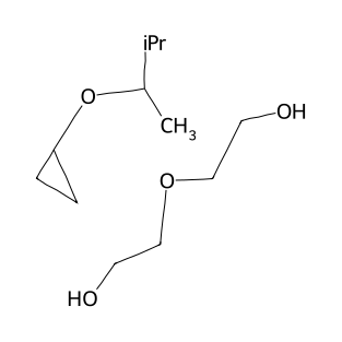 CC(C)C(C)OC1CC1.OCCOCCO